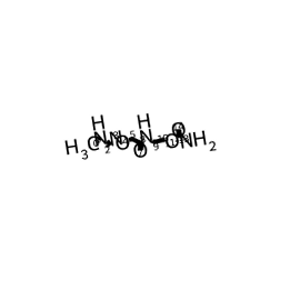 CNC=NOCC(=O)NCCOC(N)=O